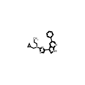 CCCN(CC1CC1)c1nc(-c2c[nH]c3ncc(-c4ccccc4)cc23)cs1